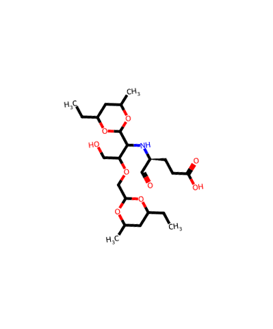 CCC1CC(C)OC(COC(CO)C(N[C@H](C=O)CCC(=O)O)C2OC(C)CC(CC)O2)O1